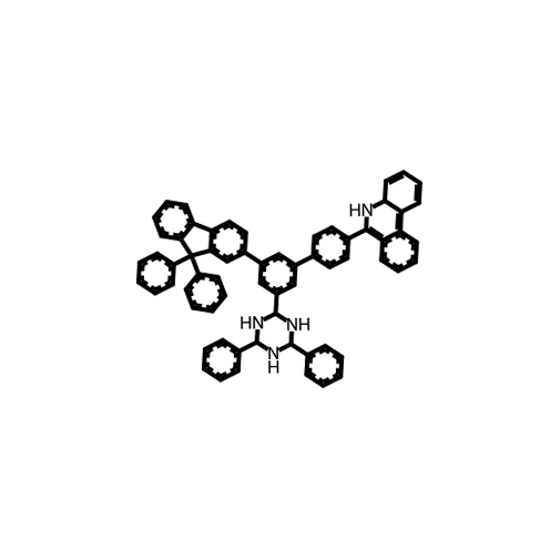 C1=CC2=c3ccccc3=C(c3ccc(-c4cc(-c5ccc6c(c5)C(c5ccccc5)(c5ccccc5)c5ccccc5-6)cc(C5NC(c6ccccc6)NC(c6ccccc6)N5)c4)cc3)NC2C=C1